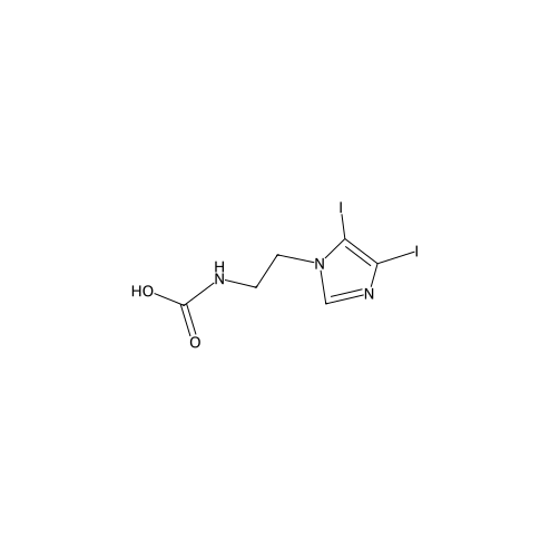 O=C(O)NCCn1cnc(I)c1I